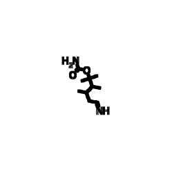 CC(CC=N)C(C)C(C)(C)OC(N)=O